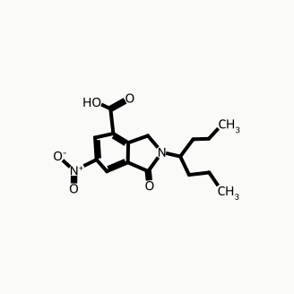 CCCC(CCC)N1Cc2c(C(=O)O)cc([N+](=O)[O-])cc2C1=O